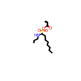 C=CC(=O)OS(=O)(=O)C(CCCCCCC)NCCC